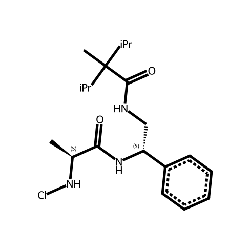 CC(C)C(C)(C(=O)NC[C@@H](NC(=O)[C@H](C)NCl)c1ccccc1)C(C)C